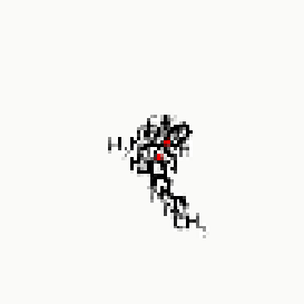 Cn1ccc(-c2ccc(-c3cnn4c(N)c(S(C)(=O)=O)c([C@H]5C[C@H]6CC[C@@H](C5)N6C(=O)c5cn[nH]n5)nc34)cn2)n1